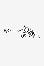 CCCCCCCCCCC#Cc1ccc(C(=O)OCc2ccccc2)c(OC[C@H](CC(=O)OC)NC(=O)CN(C)C(=O)CP(=O)(OCC)OCC)c1